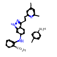 Cc1cc(C)nc(C=Cc2n[nH]c3cc(Nc4ccccc4C(=O)O)ccc23)c1.Cc1ccc(S(=O)(=O)O)cc1